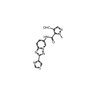 Cn1ncc(C=O)c1C(=O)Nc1ccc2nc(-c3cscn3)nn2c1